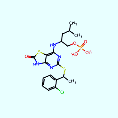 CC(C)CC(COP(=O)(O)O)Nc1nc(SC(C)c2ccccc2Cl)nc2[nH]c(=O)sc12